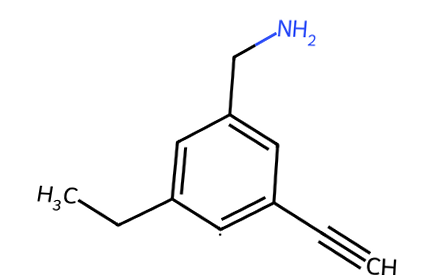 C#Cc1[c]c(CC)cc(CN)c1